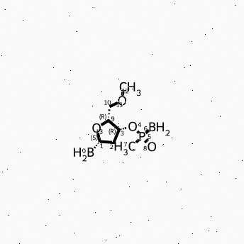 B[C@H]1C[C@@H](OP(B)(C)=O)[C@@H](COC)O1